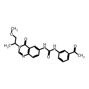 COCC(C)n1cnc2ccc(NC(=O)Nc3cccc(C(C)=O)c3)cc2c1=O